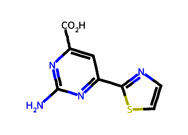 Nc1nc(C(=O)O)cc(-c2nccs2)n1